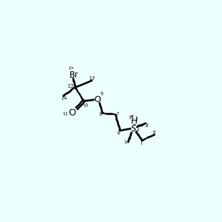 CC[SH](C)(C)(C)CCCOC(=O)C(C)(C)Br